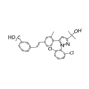 Cc1cc(C=Cc2cccc(C(=O)O)c2)ccc1-c1cc(C(C)(C)O)nn1-c1c(Cl)cccc1Cl